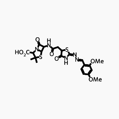 COc1ccc(C=NN=C2NC(=O)C(CC(=O)NC3C(=O)N4C3SC(C)(C)C4C(=O)O)S2)c(OC)c1